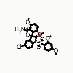 COc1ccc(S(=O)(=O)N2C(=O)C(OC(N)=O)(c3cc(OC)ccc3OC)c3cc(Cl)ccc32)c(OC)c1